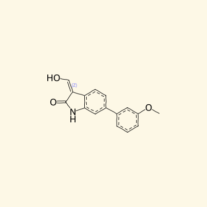 COc1cccc(-c2ccc3c(c2)NC(=O)/C3=C\O)c1